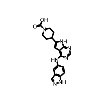 O=C(O)N1CCC(c2cc3c(Nc4ccc5[nH]ncc5c4)ncnc3[nH]2)CC1